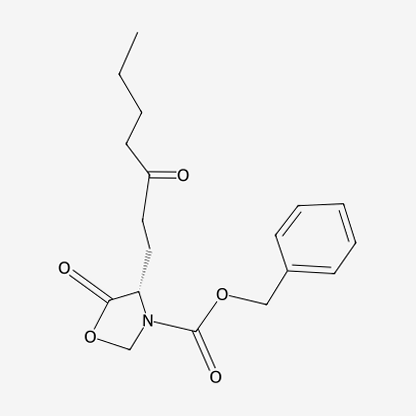 CCCCC(=O)CC[C@H]1C(=O)OCN1C(=O)OCc1ccccc1